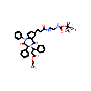 CCOC(=O)CC(c1ccccc1)N1C(=O)c2cc(CCC(=O)NCCNC(=O)OC(C)(C)C)ccc2N(c2ccccc2)C(=O)C1c1ccccc1